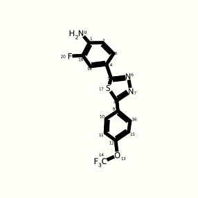 Nc1ccc(-c2nnc(-c3ccc(OC(F)(F)F)cc3)s2)cc1F